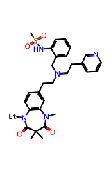 CCN1C(=O)C(C)(C)C(=O)N(C)c2cc(CCN(CCc3cccnc3)Cc3ccccc3NS(C)(=O)=O)ccc21